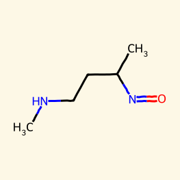 CNCCC(C)N=O